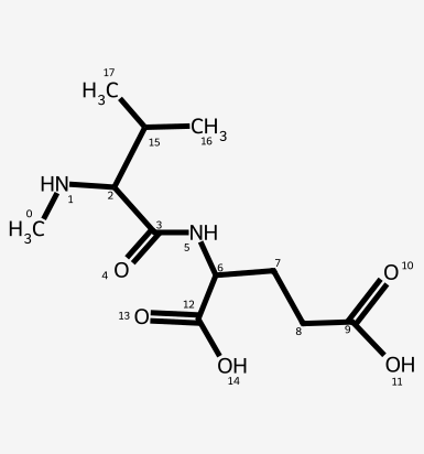 CNC(C(=O)NC(CCC(=O)O)C(=O)O)C(C)C